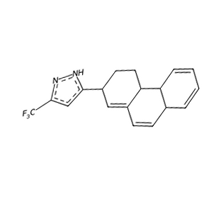 FC(F)(F)c1cc(C2C=C3C=CC4C=CC=CC4C3CC2)[nH]n1